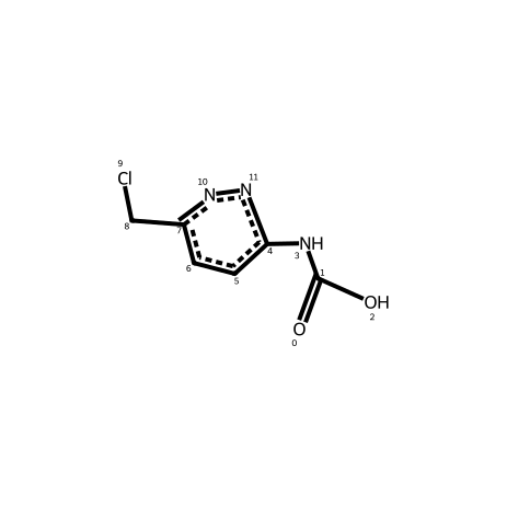 O=C(O)Nc1ccc(CCl)nn1